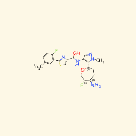 Cc1ccc(F)c(-c2nc(C(O)Nc3cnn(C)c3[C@@H]3CC[C@@H](N)[C@H](F)CO3)cs2)c1